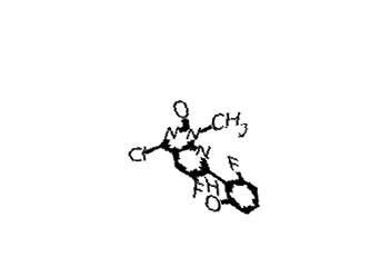 Cn1c(=O)nc(Cl)c2cc(F)c(-c3c(O)cccc3F)nc21